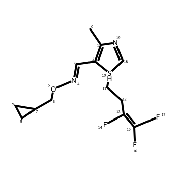 CC1=C(/C=N/OCC2CC2)[SH](CCC(F)=C(F)F)C=N1